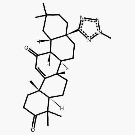 Cn1nnc([C@]23CCC(C)(C)C[C@H]2[C@H]2C(=O)C=C4[C@@]5(C)CCC(=O)C(C)(C)[C@@H]5CC[C@@]4(C)[C@]2(C)CC3)n1